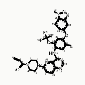 C=CC(=O)N1CCN(c2ccc3ncnc(Nc4cc(C)c(Oc5ccc6c(c5)nnn6C)cc4OC(F)(F)F)c3n2)CC1